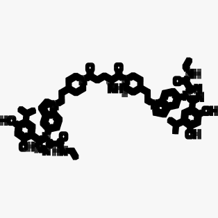 CCNC(=O)c1nnc(-c2cc(C(C)C)c(O)cc2O)n1-c1ccc2c(ccn2CCC2CCN(C(=O)CC[C@H](N)C(=O)N3CCC(CCn4ccc5cc(-n6c(C(=O)NCC)nnc6-c6cc(C(C)C)c(O)cc6O)ccc54)CC3)CC2)c1